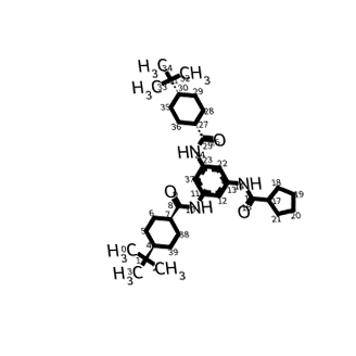 CC(C)(C)[C@H]1CC[C@@H](C(=O)Nc2cc(NC(=O)C3CCCC3)cc(NC(=O)[C@H]3CC[C@@H](C(C)(C)C)CC3)c2)CC1